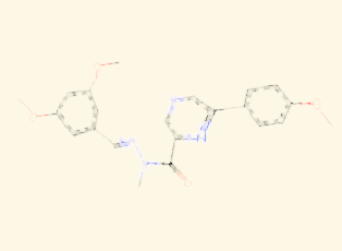 COc1ccc(-c2cncc(C(=O)N(C)/N=C/c3cc(OC)cc(OC)c3)n2)cc1